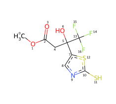 COC(=O)CC(O)(c1cnc(S)s1)C(F)(F)F